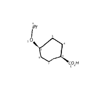 CC(C)O[C@H]1CC[C@@H](C(=O)O)CC1